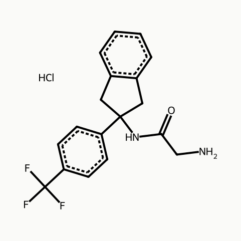 Cl.NCC(=O)NC1(c2ccc(C(F)(F)F)cc2)Cc2ccccc2C1